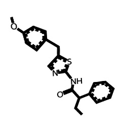 CCC(C(=O)Nc1ncc(Cc2ccc(OC)cc2)s1)c1ccccc1